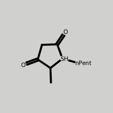 CCCCC[SH]1C(=O)CC(=O)C1C